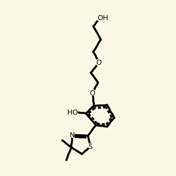 CC1(C)CSC(c2cccc(OCCOCCCO)c2O)=N1